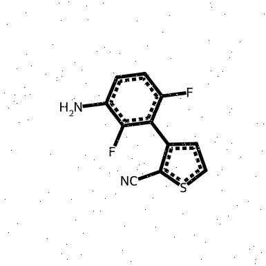 N#Cc1sccc1-c1c(F)ccc(N)c1F